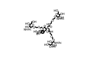 COC(CO)C(O)C(O)C(NC(C)=O)OCCOCCNC(=O)CN(CC(=O)NCCOCCOC1OC(CO)C(O)C(O)C1NC(C)=O)C(Cc1ccc(OP(=O)(S)C(C)(C)C)cc1)C(=O)NCCOCCOC1OC(CO)C(O)C(O)C1NC(C)=O